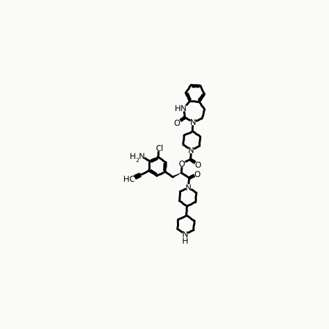 C#Cc1cc(C[C@@H](OC(=O)N2CCC(N3CCc4ccccc4NC3=O)CC2)C(=O)N2CCC(C3CCNCC3)CC2)cc(Cl)c1N